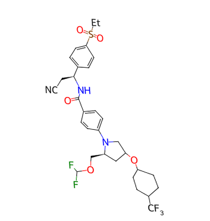 CCS(=O)(=O)c1ccc([C@H](CC#N)NC(=O)c2ccc(N3CC(OC4CCC(C(F)(F)F)CC4)C[C@H]3COC(F)F)cc2)cc1